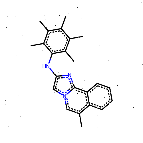 Cc1c(C)c(C)c(Nc2cn3cc(C)c4ccccc4c3n2)c(C)c1C